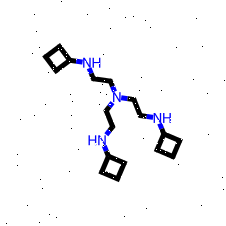 C1CC(NCCN(CCNC2CCC2)CCNC2CCC2)C1